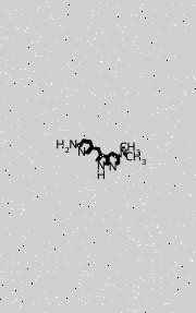 CN(C)c1cnc2[nH]cc(Cc3ccc(N)nc3)c2c1